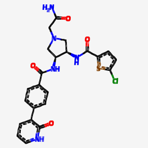 NC(=O)CN1C[C@H](NC(=O)c2ccc(-c3ccc[nH]c3=O)cc2)[C@H](NC(=O)c2ccc(Cl)s2)C1